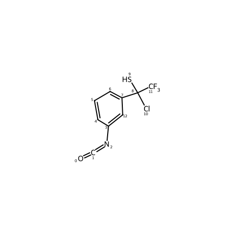 O=C=Nc1cccc(C(S)(Cl)C(F)(F)F)c1